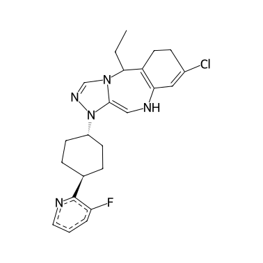 CCC1C2=C(C=C(Cl)CC2)NC=C2N1C=NN2[C@H]1CC[C@H](c2ncccc2F)CC1